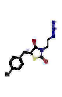 CCc1ccc(/C=C2\SC(=O)N(CCN=[N+]=[N-])C2=O)cc1